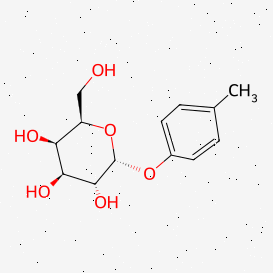 Cc1ccc(O[C@H]2O[C@H](CO)[C@H](O)[C@H](O)[C@H]2O)cc1